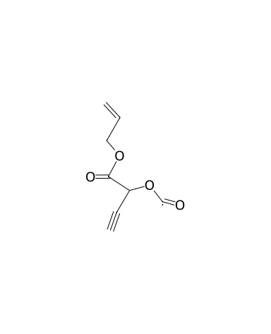 C#CC(O[C]=O)C(=O)OCC=C